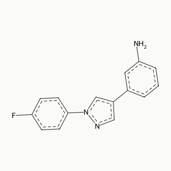 Nc1cccc(-c2cnn(-c3ccc(F)cc3)c2)c1